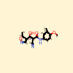 COc1ccc(NC(=O)/C(C#N)=C(\O)c2cnoc2C)cc1C